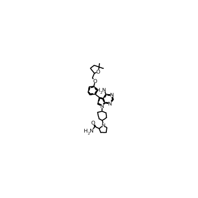 CC1(C)CCC(COc2cccc(-c3cn(C4CCC(N5CCCC5C(N)=O)CC4)c4ncnc(N)c34)c2)O1